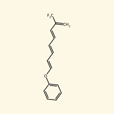 C=C(/C=C/C=C/C=C/Oc1ccccc1)C(F)(F)F